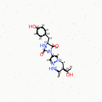 CC(=N)/C(Cn1cc(N2C(=O)NC(Cc3ccc(O)cc3)C2=O)cn1)=C(/C)O